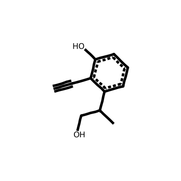 C#Cc1c(O)cccc1[C](C)CO